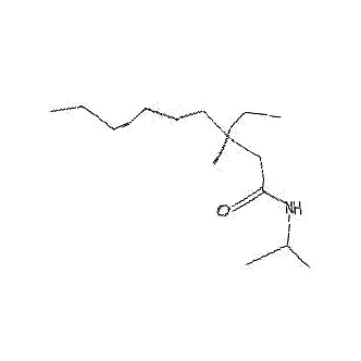 CCCCCCC(C)(CC)CC(=O)NC(C)C